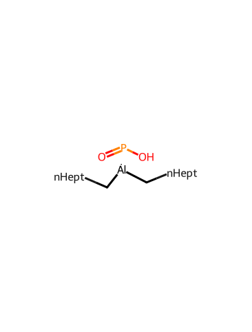 CCCCCCC[CH2][Al][CH2]CCCCCCC.O=PO